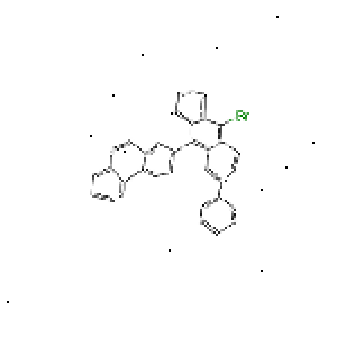 Brc1c2ccccc2c(-c2ccc3c(ccc4ccccc43)c2)c2cc(-c3ccccc3)ccc12